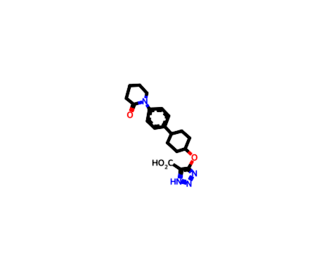 O=C(O)c1[nH]nnc1OC1CCC(c2ccc(N3CCCCC3=O)cc2)CC1